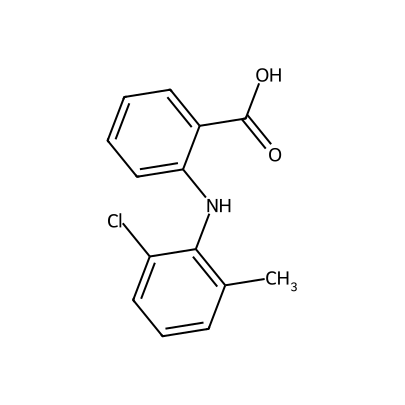 Cc1cccc(Cl)c1Nc1ccccc1C(=O)O